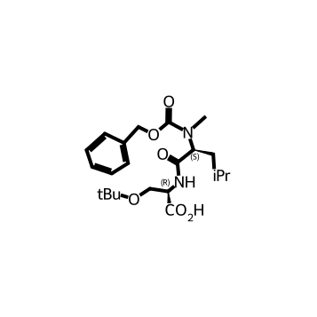 CC(C)C[C@@H](C(=O)N[C@H](COC(C)(C)C)C(=O)O)N(C)C(=O)OCc1ccccc1